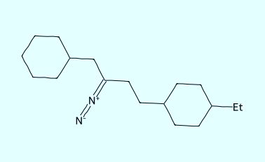 CCC1CCC(CCC(CC2CCCCC2)=[N+]=[N-])CC1